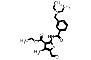 CCOC(=O)c1c(NC(=O)c2cccc(CN(CC)CC)c2)sc(C=O)c1C